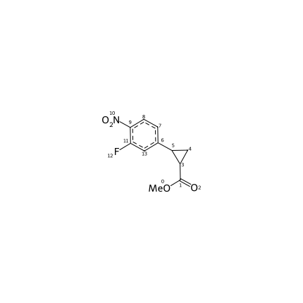 COC(=O)C1CC1c1ccc([N+](=O)[O-])c(F)c1